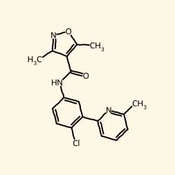 Cc1cccc(-c2cc(NC(=O)c3c(C)noc3C)ccc2Cl)n1